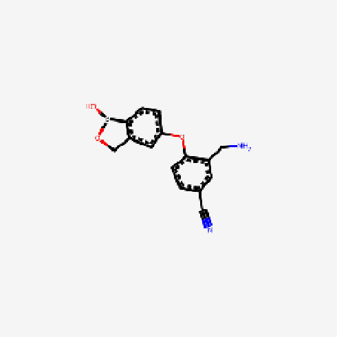 N#Cc1ccc(Oc2ccc3c(c2)COB3O)c(CN)c1